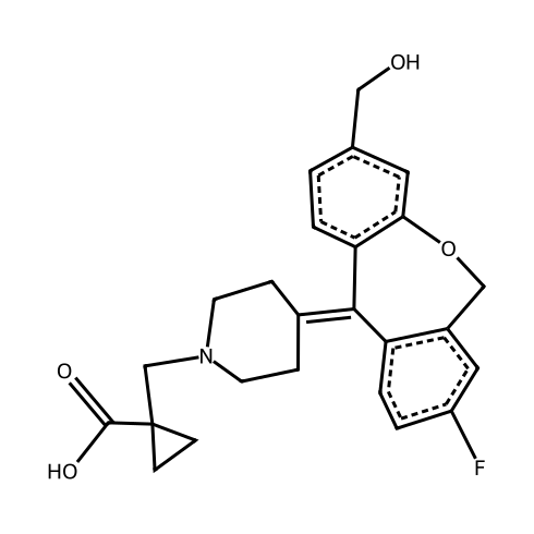 O=C(O)C1(CN2CCC(=C3c4ccc(F)cc4COc4cc(CO)ccc43)CC2)CC1